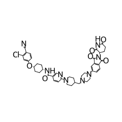 N#Cc1ccc(O[C@H]2CC[C@@H](NC(=O)c3ccc(N4CCC(CN5CCN(c6ccc7c(c6)C(=O)N(C6CCC(=O)NC6=O)C7=O)CC5)CC4)nc3)CC2)cc1Cl